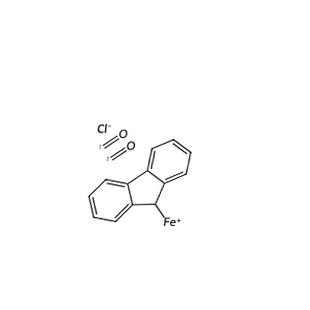 [C]=O.[C]=O.[Cl-].[Fe+][CH]1c2ccccc2-c2ccccc21